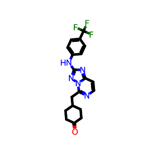 O=C1CCC(Cc2nccc3nc(Nc4ccc(C(F)(F)F)cc4)nn23)CC1